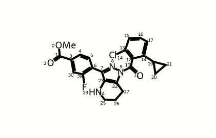 COC(=O)c1ccc(-c2nn(C(=O)c3c(Cl)cccc3C3CC3)c3c2NCCC3)c(F)c1